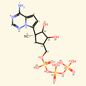 N#C[C@@]1(c2ccc3c(N)ncnn23)CC(COP(=O)(O)OP(=O)(O)OP(=O)(O)O)C(O)C1O